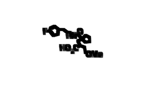 COCCC(CC1(C(=O)NCCCc2ccc(F)cc2)CCCC1)C(=O)O